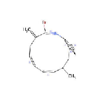 C=C1C/C=C\C=C/C(C)C/C2=C\CC/C=C/C=C2/N=C\1Br